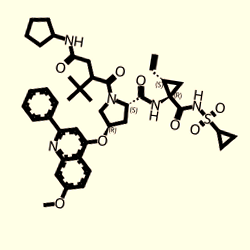 C=C[C@@H]1C[C@]1(NC(=O)[C@@H]1C[C@@H](Oc2cc(-c3ccccc3)nc3cc(OC)ccc23)CN1C(=O)C(CC(=O)NC1CCCC1)C(C)(C)C)C(=O)NS(=O)(=O)C1CC1